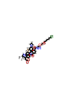 CS1(C)c2cc(N3CCC3)ccc2C2(c3cc(C(=O)NCCOCCOCCCCCCCl)ccc3C(=O)N2c2ccc3c(C(F)(F)F)cc(=O)oc3c2)c2ccc(N3CCC3)cc21